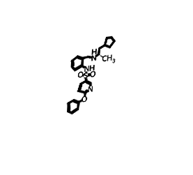 C[C@@H](CC1CCCC1)NCc1ccccc1NS(=O)(=O)c1ccc(Oc2ccccc2)nc1